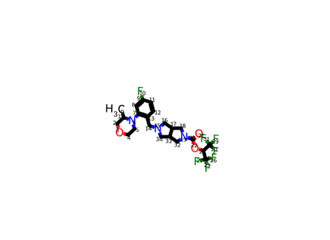 CC1COCCN1c1cc(F)ccc1CN1CC2CN(C(=O)OC(C(F)(F)F)C(F)(F)F)CC2C1